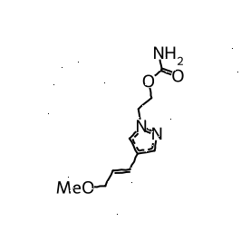 COCC=Cc1cnn(CCOC(N)=O)c1